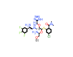 CCOCC(N)OC(Sc1cc(Cl)ccc1C(=O)N(C)C)[C@H](CN(N)/C=C(\N)c1cc(F)c(F)c(F)c1)OCc1nnn[nH]1